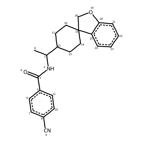 CC(NC(=O)c1ccc(C#N)cc1)C1CCC2(CC1)COc1ccccc12